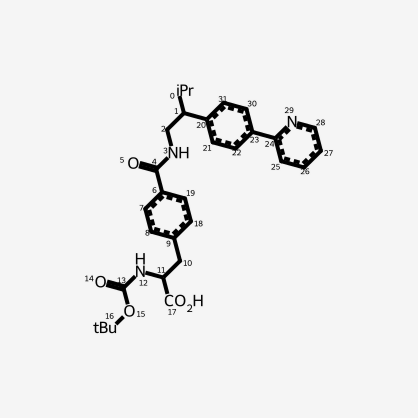 CC(C)C(CNC(=O)c1ccc(CC(NC(=O)OC(C)(C)C)C(=O)O)cc1)c1ccc(-c2ccccn2)cc1